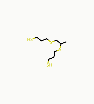 CC(CSCCCS)SCCCS